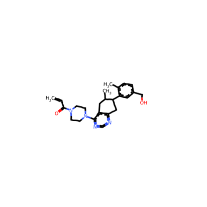 C=CC(=O)N1CCN(c2ncnc3c2CC(C)C(c2cc(CO)ccc2C)C3)CC1